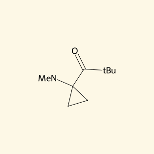 CNC1(C(=O)C(C)(C)C)CC1